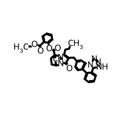 CCCc1c(Cc2ccc(-c3ccccc3-c3nnn[nH]3)cc2)c(=O)n2n1C1(C(=O)Oc3ccccc3C(=O)OCC)CCC2CC1